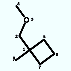 [CH2]C1(COC)CCC1